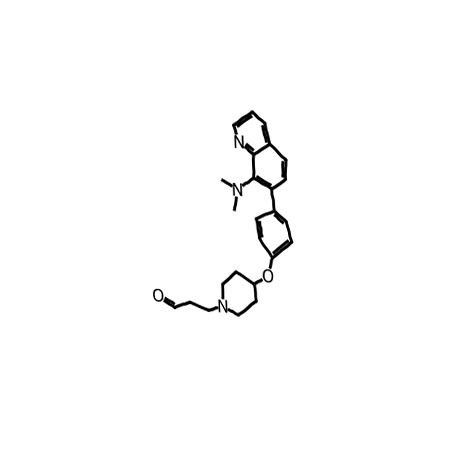 CN(C)c1c(-c2ccc(OC3CCN(CCC=O)CC3)cc2)ccc2cccnc12